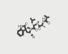 CC(C)C[C@@H](C(=O)N1C[C@]2(C[C@H]1C#N)C(=O)Nc1ccccc12)N(C)C(=O)[C@H](C)NC(=O)C(C)C